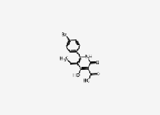 CCc1c(-c2ccc(Br)cc2)[nH]c(=O)c(C(=O)O)c1O